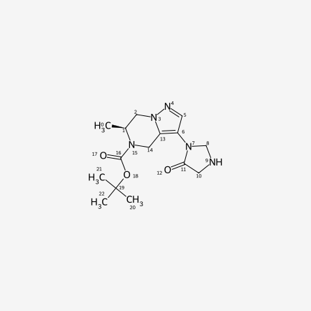 C[C@H]1Cn2ncc(N3CNCC3=O)c2CN1C(=O)OC(C)(C)C